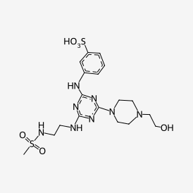 CS(=O)(=O)NCCNc1nc(Nc2cccc(S(=O)(=O)O)c2)nc(N2CCN(CCO)CC2)n1